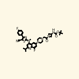 CC(C)c1cc(N(C)c2nc(-c3ccc(F)cc3)c(C#N)s2)c2cc(N3CCN(CC(=O)N4CC(NC(=O)OC(C)(C)C)C4)CC3)cc(F)c2n1